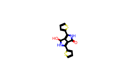 O=C1NC(c2cccs2)=C2C1=C(c1cccs1)NC2O